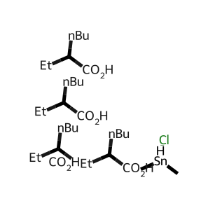 CCCCC(CC)C(=O)O.CCCCC(CC)C(=O)O.CCCCC(CC)C(=O)O.CCCCC(CC)C(=O)O.[CH3][SnH]([CH3])[Cl]